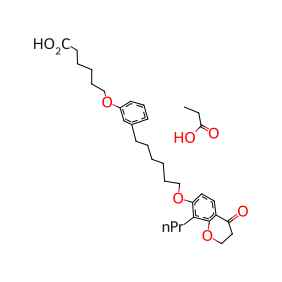 CCC(=O)O.CCCc1c(OCCCCCCc2cccc(OCCCCCC(=O)O)c2)ccc2c1OCCC2=O